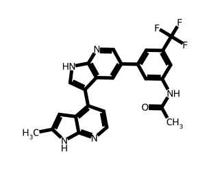 CC(=O)Nc1cc(-c2cnc3[nH]cc(-c4ccnc5[nH]c(C)cc45)c3c2)cc(C(F)(F)F)c1